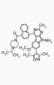 COc1cc2c3c(-c4ccc(C(=O)N5CCN(C(C)C)CC5)c5ccccc45)nc(C)nc3n(N)c2cc1-c1c(C)noc1C